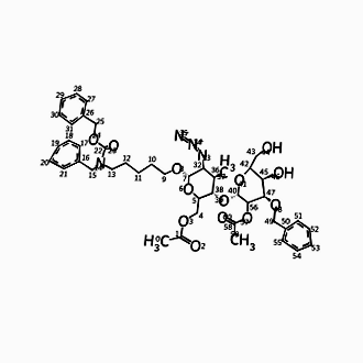 CC(=O)OCC1O[C@H](OCCCCCN(Cc2ccccc2)C(=O)OCc2ccccc2)C(N=[N+]=[N-])[C@@H](C)[C@@H]1O[C@@H]1OC(CO)[C@@H](O)[C@@H](OCc2ccccc2)C1OC(C)=O